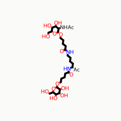 CC(=O)NC1C(OCCCCC(=O)NCCCC[C@@H](NC(=O)CCCCOC2OC(CO)C(O)C(O)C2O)C(C)=O)OC(CO)C(O)C1O